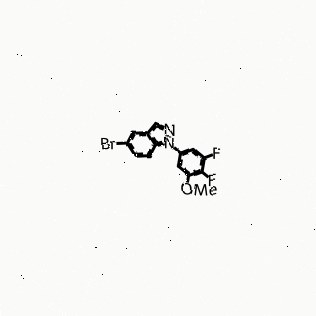 COc1cc(-n2ncc3cc(Br)ccc32)cc(F)c1F